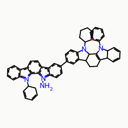 Nn1c2ccc(-c3ccc4c(c3)C3CCC5=C(C3N4C3C=CCCC3)N(c3ccccc3)C3C=CC=CC53)cc2c2ccc3c4ccccc4n(C4C=CC=CC4)c3c21